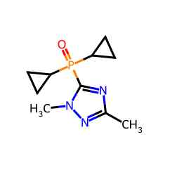 Cc1nc(P(=O)(C2CC2)C2CC2)n(C)n1